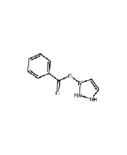 O=C(ON1C=CNN1)c1ccccc1